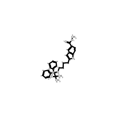 COC(=O)c1ccc2oc(CCCCO[Si](c3ccccc3)(c3ccccc3)C(C)(C)C)cc2c1